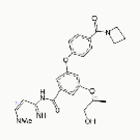 CN/C=C\C(=N)NC(=O)c1cc(Oc2ccc(C(=O)N3CCC3)cc2)cc(O[C@@H](C)CO)c1